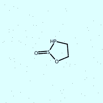 O=S1OCCP1